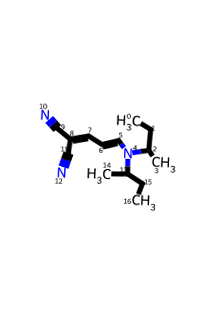 CCC(C)N(C=CC=C(C#N)C#N)C(C)CC